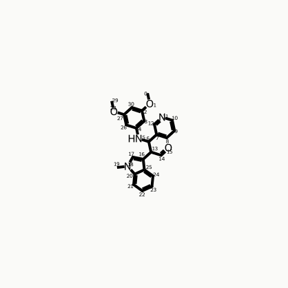 COc1cc(NC(c2cccnc2)C(C=O)c2cn(C)c3ccccc23)cc(OC)c1